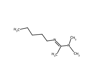 CCCCC/N=C(\C)N(C)C